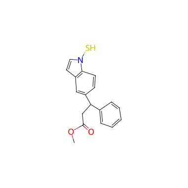 COC(=O)CC(c1ccccc1)c1ccc2c(ccn2S)c1